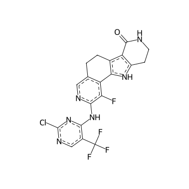 O=C1NCCc2[nH]c3c(c21)CCc1cnc(Nc2nc(Cl)ncc2C(F)(F)F)c(F)c1-3